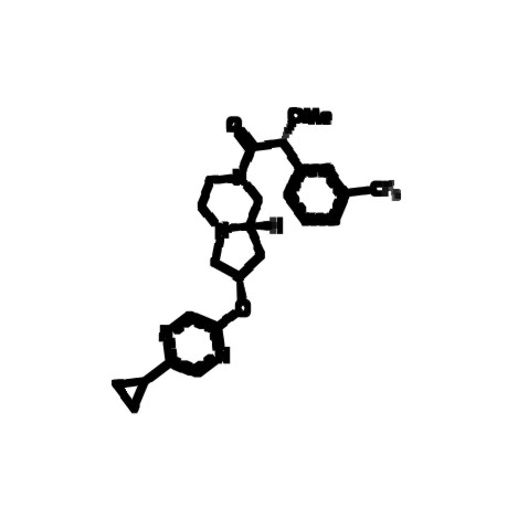 CO[C@@H](C(=O)N1CCN2C[C@H](Oc3cnc(C4CC4)cn3)C[C@H]2C1)c1cccc(C(F)(F)F)c1